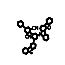 N#Cc1cc(-c2ccccc2)cc(C#N)c1-c1cc(-c2ccc3sc4ccccc4c3c2)cc(-n2c3ccccc3c3c4oc5ccccc5c4ccc32)c1